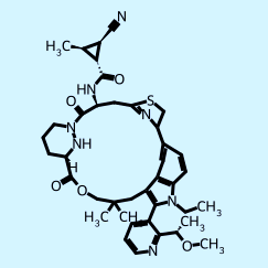 CCn1c(-c2cccnc2[C@H](C)OC)c2c3cc(ccc31)C1CSC(=N1)C[C@H](NC(=O)[C@@H]1[C@@H](C)[C@H]1C#N)C(=O)N1CCC[C@H](N1)C(=O)OCC(C)(C)C2